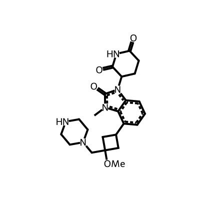 COC1(CN2CCNCC2)CC(c2cccc3c2n(C)c(=O)n3C2CCC(=O)NC2=O)C1